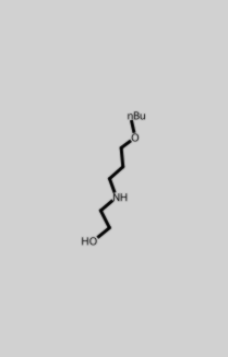 CCCCOCCCNCCO